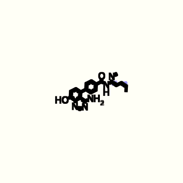 C=N/C(=C\C=C/C)NC(=O)c1ccc(-c2ccc(O)c3ncnc(N)c23)cc1